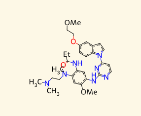 CCC(=O)Nc1cc(Nc2nccc(-n3ccc4cc(OCCOC)ccc43)n2)c(OC)cc1N(C)CCN(C)C